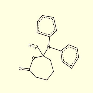 O=C1CCCCC(N(c2ccccc2)c2ccccc2)(S(=O)(=O)O)O1